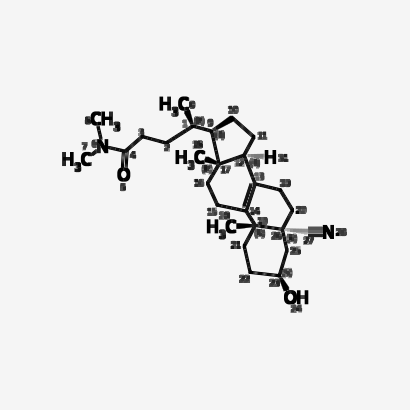 C[C@H](CCC(=O)N(C)C)[C@H]1CC[C@H]2C3=C(CC[C@]12C)[C@@]1(C)CC[C@H](O)C[C@]1(C#N)CC3